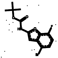 CC(C)(C)OC(=O)Nc1cc2c(Br)ccc(F)c2o1